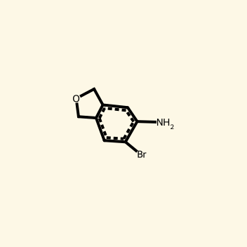 Nc1cc2c(cc1Br)COC2